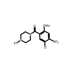 CCN1CCN(C(=O)c2cc(Cl)c([N+](=O)[O-])cc2OC)CC1